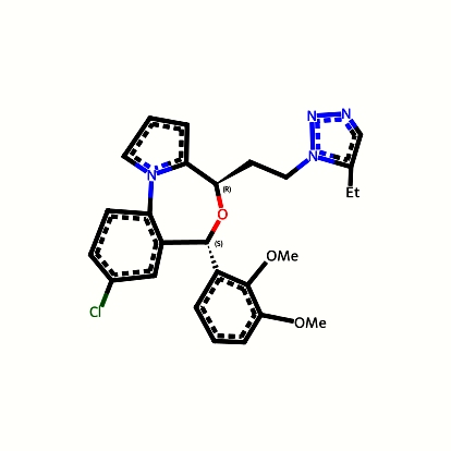 CCc1cnnn1CC[C@H]1O[C@H](c2cccc(OC)c2OC)c2cc(Cl)ccc2-n2cccc21